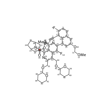 C#Cc1c(F)ccc2cc(OCOC)cc(-c3nc(OC)c4c(N5CC6CCC(C5)N6C(=O)OC(C)(C)C)nc(COC5CCCCO5)c(COC5CCCCO5)c4c3F)c12